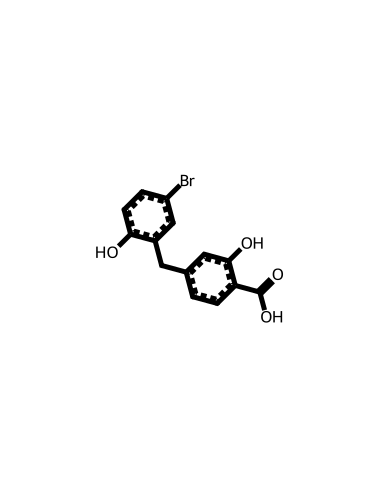 O=C(O)c1ccc(Cc2cc(Br)ccc2O)cc1O